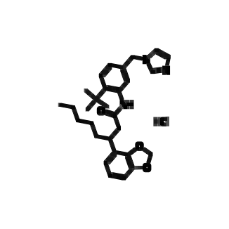 CCCCCC(CC(=O)Nc1cc(Cn2ccnc2)ccc1C(C)(C)C)c1cccc2c1OCO2.Cl